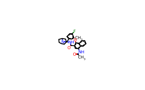 COc1c(C(=O)NC2CC3CCC(C2)N3Cc2ccc(F)cc2)cc(NC(C)=O)c2ccccc12